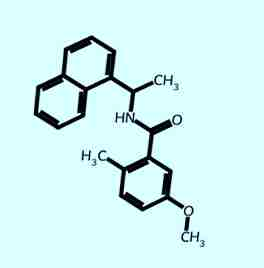 COc1ccc(C)c(C(=O)NC(C)c2cccc3ccccc23)c1